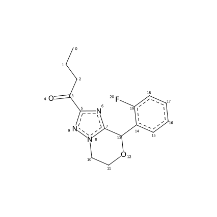 CCCC(=O)c1nc2n(n1)CCOC2c1ccccc1F